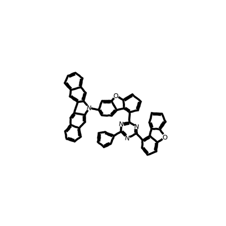 c1ccc(-c2nc(-c3cccc4oc5ccccc5c34)nc(-c3cccc4oc5cc(-n6c7cc8ccccc8cc7c7cc8ccccc8cc76)ccc5c34)n2)cc1